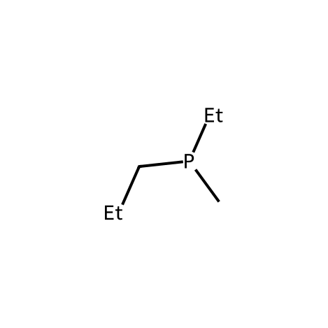 [CH2]CCP(C)CC